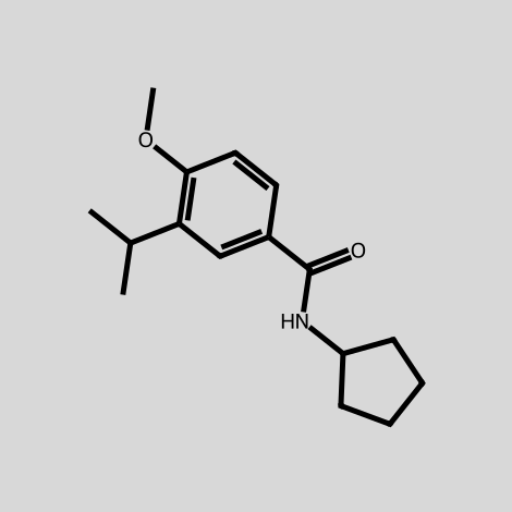 COc1ccc(C(=O)NC2CCCC2)cc1C(C)C